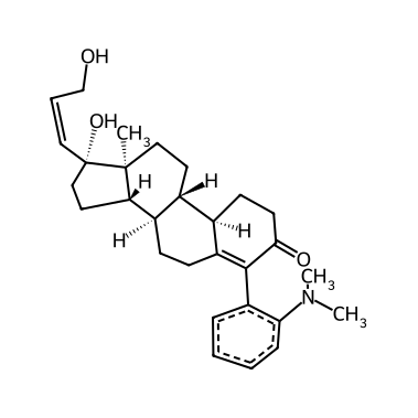 CN(C)c1ccccc1C1=C2CC[C@@H]3[C@H](CC[C@@]4(C)[C@H]3CC[C@@]4(O)/C=C\CO)[C@H]2CCC1=O